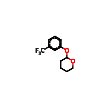 FC(F)(F)c1cccc(OC2CCCCO2)c1